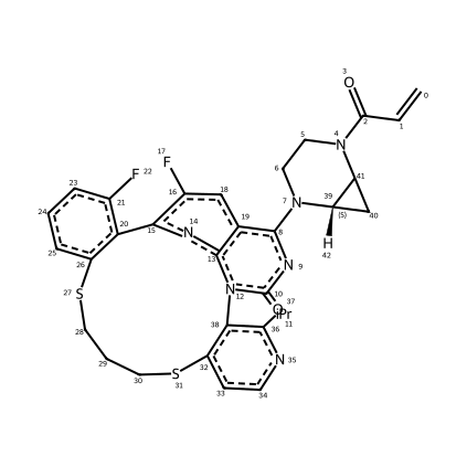 C=CC(=O)N1CCN(c2nc(=O)n3c4nc(c(F)cc24)-c2c(F)cccc2SCCCSc2ccnc(C(C)C)c2-3)[C@H]2CC21